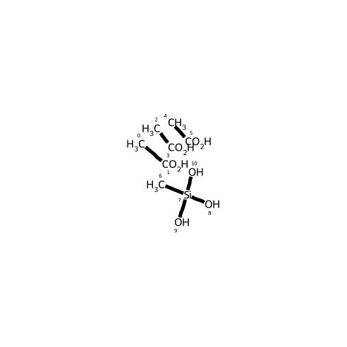 CC(=O)O.CC(=O)O.CC(=O)O.C[Si](O)(O)O